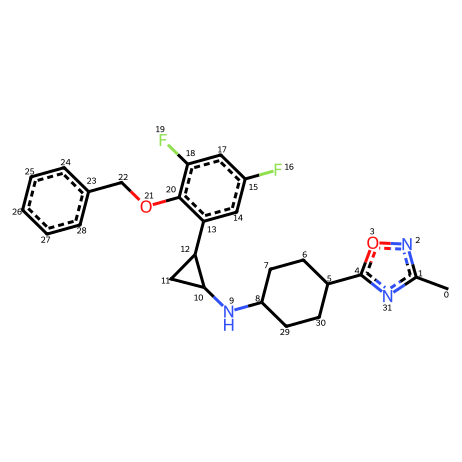 Cc1noc(C2CCC(NC3CC3c3cc(F)cc(F)c3OCc3ccccc3)CC2)n1